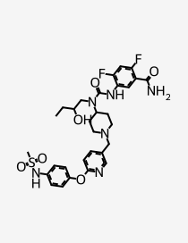 CCC(O)CN(C(=O)Nc1cc(C(N)=O)c(F)cc1F)C1CCN(Cc2ccc(Oc3ccc(NS(C)(=O)=O)cc3)nc2)CC1